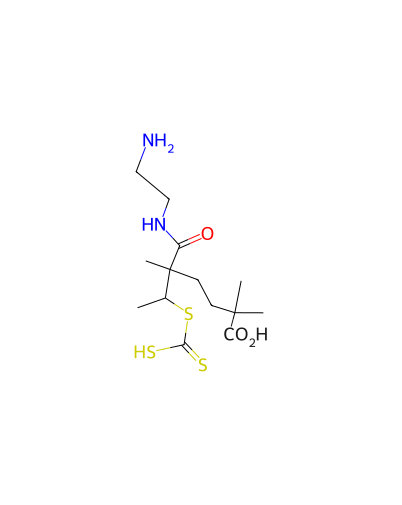 CC(SC(=S)S)C(C)(CCC(C)(C)C(=O)O)C(=O)NCCN